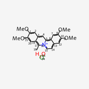 COc1cc2cc3c4cc(OC)c(OC)cc4cc[n+]3c(C)c2cc1OC.O.[Cl-]